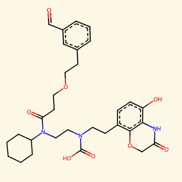 O=Cc1cccc(CCOCCC(=O)N(CCN(CCc2ccc(O)c3c2OCC(=O)N3)C(=O)O)C2CCCCC2)c1